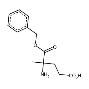 CC(N)(CCC(=O)O)C(=O)OCc1ccccc1